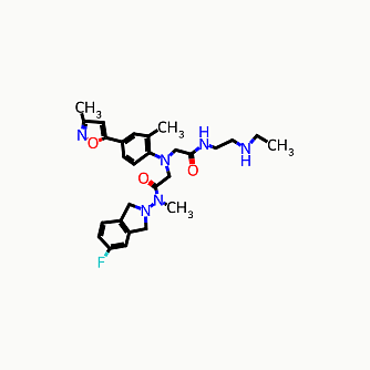 CCNCCNC(=O)CN(CC(=O)N(C)N1Cc2ccc(F)cc2C1)c1ccc(-c2cc(C)no2)cc1C